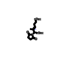 CCCCCCCCCCCC/C=C(\C)C(CCCCCCCCCC)N1C(=O)CCC1=O